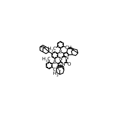 Cc1cccc(C)c1B1c2cc(C34CC5CC(CC(C5)C3)C4)cc3c2-n2c4c1c1c(n4c(=O)n4c5c(c(c24)B3c2c(C)cccc2C)C2CC3CC(C2)CC5C3)C2CC3CC(CC1C3)C2